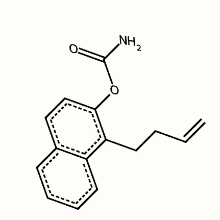 C=CCCc1c(OC(N)=O)ccc2ccccc12